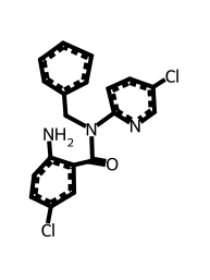 Nc1ccc(Cl)cc1C(=O)N(Cc1ccccc1)c1ccc(Cl)cn1